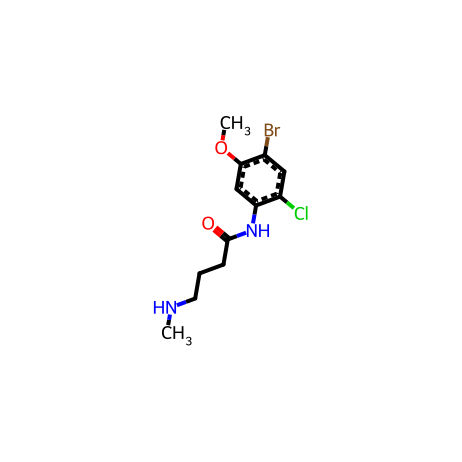 CNCCCC(=O)Nc1cc(OC)c(Br)cc1Cl